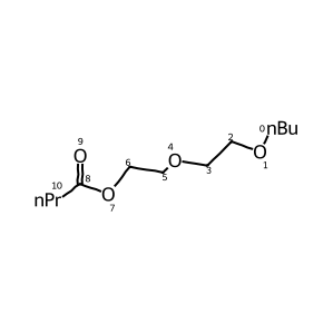 CCCCOCCOCCOC(=O)CCC